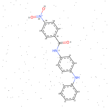 O=C(Nc1ccc(Nc2ccccc2)cc1)c1ccc([N+](=O)[O-])cc1